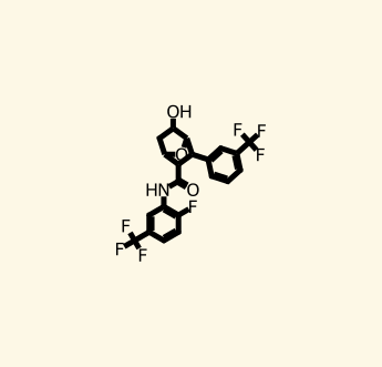 O=C(Nc1cc(C(F)(F)F)ccc1F)C1C2CC(O)C(O2)C1c1cccc(C(F)(F)F)c1